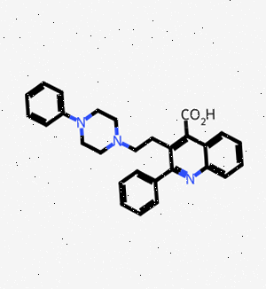 O=C(O)c1c(CCN2CCN(c3ccccc3)CC2)c(-c2ccccc2)nc2ccccc12